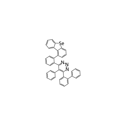 c1ccc(-c2ccccc2-c2nnnc(-c3ccccc3-c3cccc4[se]c5ccccc5c34)c2-c2ccccc2)cc1